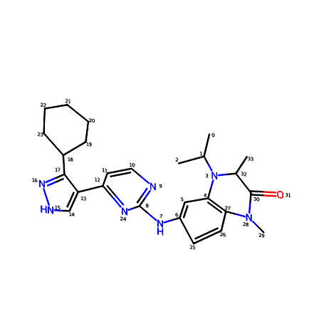 CC(C)N1c2cc(Nc3nccc(-c4c[nH]nc4C4CCCCC4)n3)ccc2N(C)C(=O)C1C